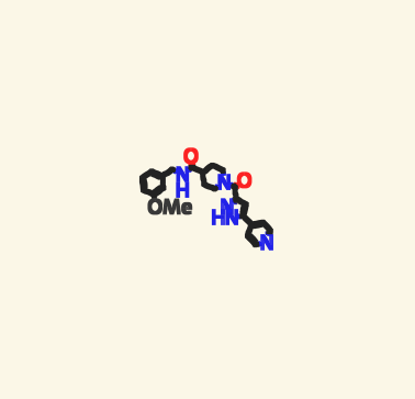 COc1cccc(CNC(=O)C2CCN(C(=O)c3cc(-c4ccncc4)[nH]n3)CC2)c1